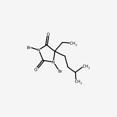 CCC1(CCC(C)C)C(=O)N(Br)C(=O)N1Br